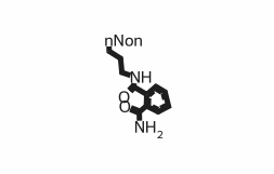 CCCCCCCCCCCCNC(=O)c1ccccc1C(N)=O